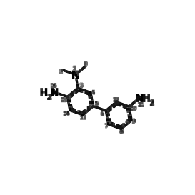 CN(C)c1cc(-c2cccc(N)c2)ccc1N